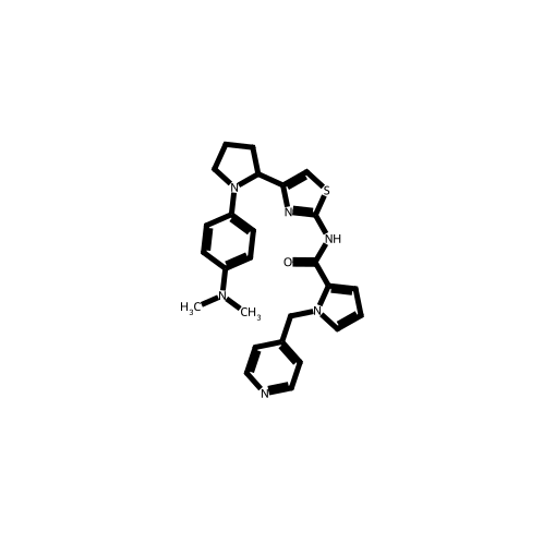 CN(C)c1ccc(N2CCCC2c2csc(NC(=O)c3cccn3Cc3ccncc3)n2)cc1